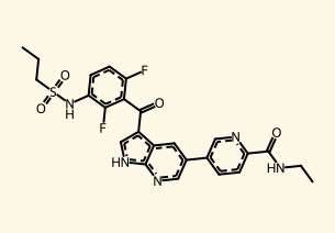 CCCS(=O)(=O)Nc1ccc(F)c(C(=O)c2c[nH]c3ncc(-c4ccc(C(=O)NCC)nc4)cc23)c1F